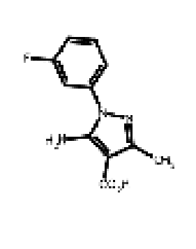 Cc1nn(-c2cccc(F)c2)c(N)c1C(=O)O